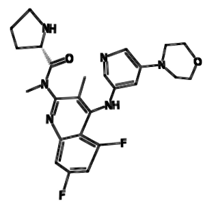 Cc1c(N(C)C(=O)[C@@H]2CCCN2)nc2cc(F)cc(F)c2c1Nc1cncc(N2CCOCC2)c1